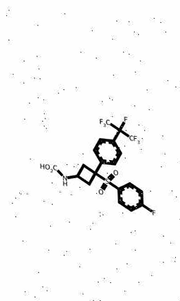 O=C(O)NC1CC(c2ccc(C(F)(C(F)(F)F)C(F)(F)F)cc2)(S(=O)(=O)c2ccc(F)cc2)C1